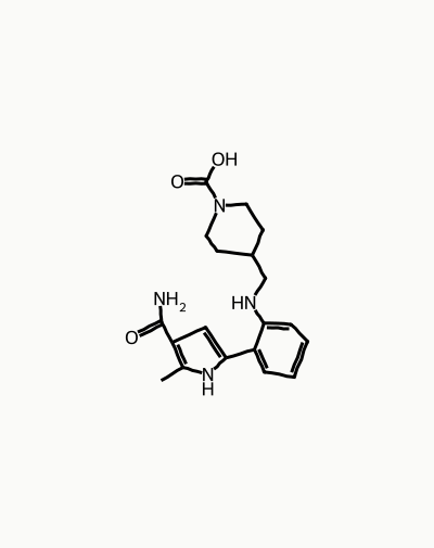 Cc1[nH]c(-c2ccccc2NCC2CCN(C(=O)O)CC2)cc1C(N)=O